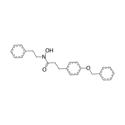 O=C(CCc1ccc(OCc2ccccc2)cc1)N(O)CCc1ccccc1